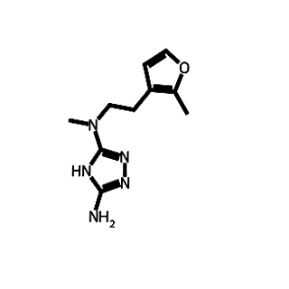 Cc1occc1CCN(C)c1nnc(N)[nH]1